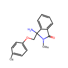 CON1C(=O)c2ccccc2C1(N)COc1ccc(C#N)cc1